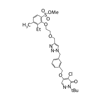 CCc1c(C)ccc(S(=O)(=O)OC)c1OCCOCc1cn(Cc2cccc(COc3cnn(C(C)(C)C)c(=O)c3Cl)c2)nn1